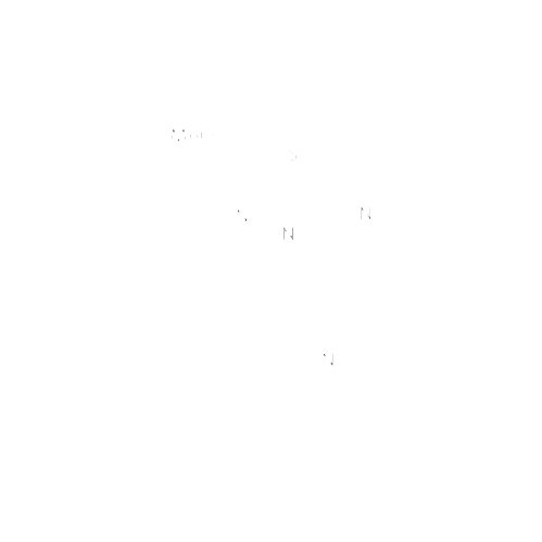 COc1nn2c(-c3ccccn3)cnc2s1